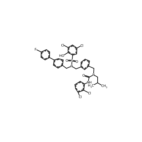 CC(C)CN(Cc1cccc(CN(Cc2ccc(-c3ccc(F)cc3)cc2)S(=O)(=O)c2cc(Cl)cc(Cl)c2O)c1)C(=O)Nc1cccc(Cl)c1Cl